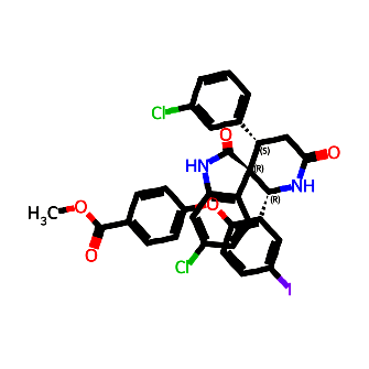 COC(=O)c1ccc(Oc2ccc(I)cc2[C@H]2NC(=O)C[C@@H](c3cccc(Cl)c3)[C@]23C(=O)Nc2cc(Cl)ccc23)cc1